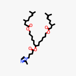 CC(C)=CCCC(C)CC(=O)OCCCCCCC(CCCCCCOC(=O)CC(C)CCC=C(C)C)OC(=O)CCCn1ccnc1C